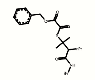 CCCC(C(=O)NC(C)C)C(C)(C)SC(=S)C(=O)OCc1ccccc1